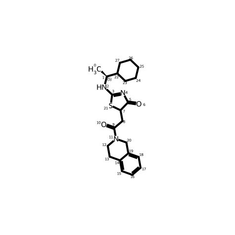 C[C@H](NC1=NC(=O)C(CC(=O)N2CCc3ccccc3C2)S1)C1CCCCC1